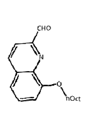 CCCCCCCCOc1cccc2ccc(C=O)nc12